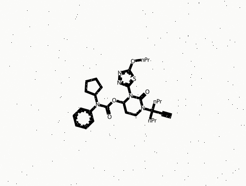 C#CC(CCC)(CCC)N1CCC(OC(=O)N(c2ccccc2)C2CCCC2)N(c2nnc(OCCC)s2)C1=O